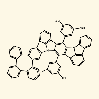 CC(C)(C)c1cc(-c2c3c4cccc5c6cc7c(cc6n(c3c(-c3cc(C(C)(C)C)cc(C(C)(C)C)c3)c3c6cccc8c9ccccc9n(c23)c86)c54)-c2ccccc2-c2ccccc2-c2ccccc2-7)cc(C(C)(C)C)c1